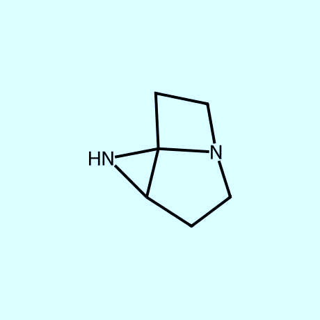 C1CN2CCC23NC13